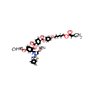 C=CC(=O)OCCCCCCOc1ccc(OC(=O)[C@H]2CC[C@H](C(=O)Oc3ccc(OC=O)cc3/C=N/N(CCOCCCC)c3nc4ccccc4s3)CC2)cc1